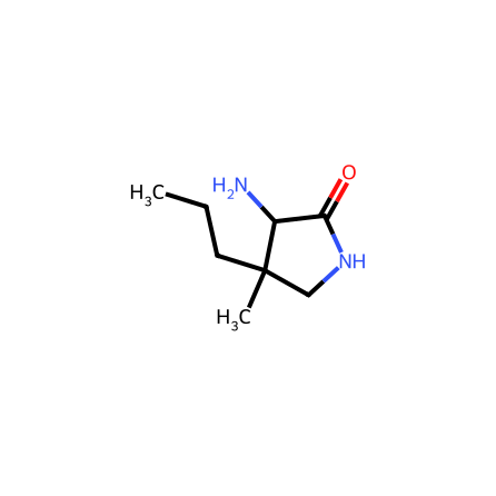 CCCC1(C)CNC(=O)C1N